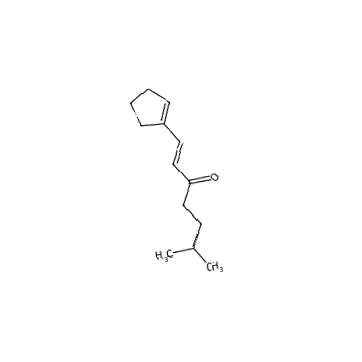 CC(C)CCC(=O)C=CC1=CCCC1